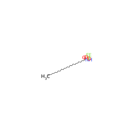 CCCCCCCCCCCCCCCCCCCCCCCCCC(=O)NS(=O)(=O)C(F)(F)F